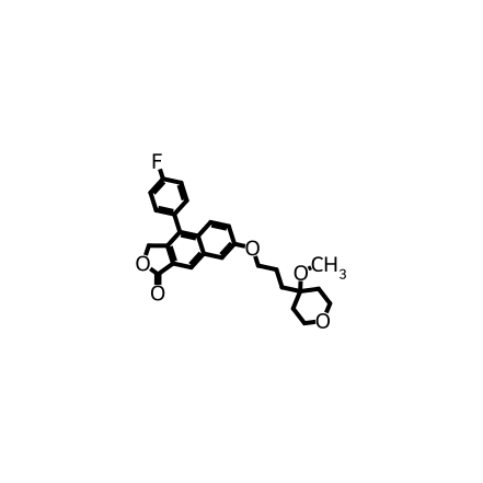 COC1(CCCOc2ccc3c(-c4ccc(F)cc4)c4c(cc3c2)C(=O)OC4)CCOCC1